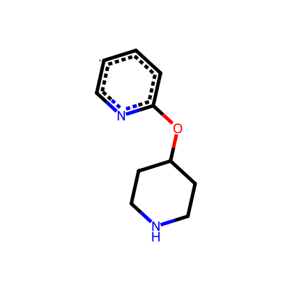 [c]1ccc(OC2CCNCC2)nc1